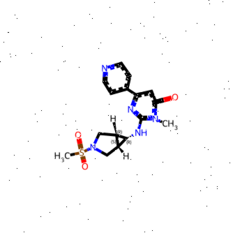 Cn1c(N[C@@H]2[C@@H]3CN(S(C)(=O)=O)C[C@@H]32)nc(-c2ccncc2)cc1=O